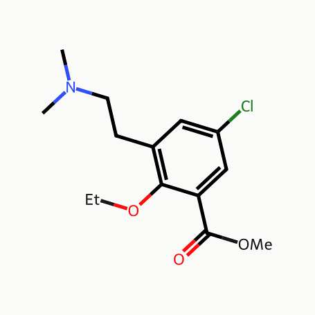 CCOc1c(CCN(C)C)cc(Cl)cc1C(=O)OC